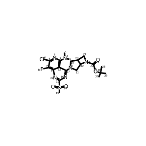 CN(C)c1nc(Cl)c(F)c2nc(S(C)(=O)=O)nc(N3CC4CN(C(=O)OC(C)(C)C)C4C3)c12